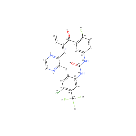 C=C/C(=C\c1nccnc1C)C(=O)c1cc(NC(=O)Nc2ccc(Cl)c(C(F)(F)F)c2)ccc1F